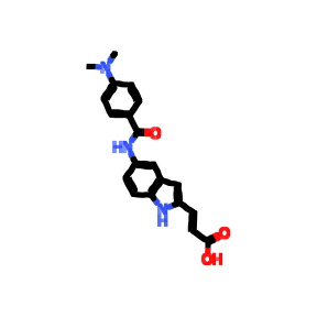 CN(C)c1ccc(C(=O)Nc2ccc3[nH]c(/C=C/C(=O)O)cc3c2)cc1